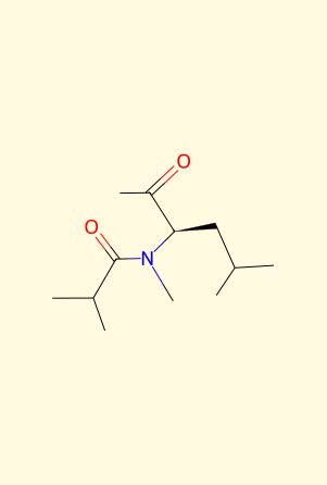 CC(=O)[C@@H](CC(C)C)N(C)C(=O)C(C)C